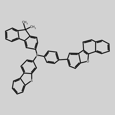 CC1(C)c2ccccc2-c2cc(N(c3ccc(-c4ccc5oc6c7ccccc7ccc6c5c4)cc3)c3ccc4c(c3)sc3ccccc34)ccc21